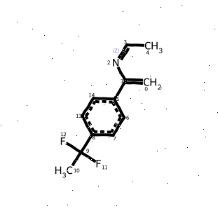 C=C(/N=C\C)c1ccc(C(C)(F)F)cc1